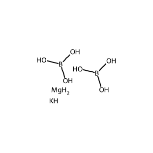 OB(O)O.OB(O)O.[KH].[MgH2]